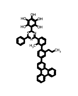 CCCc1cc(-c2ccc3c4ccccc4c4ccccc4c3c2)ccc1-c1cccc(C2=NC(c3c(O)c(O)c(O)c(O)c3O)SC(c3ccccc3)=N2)c1C